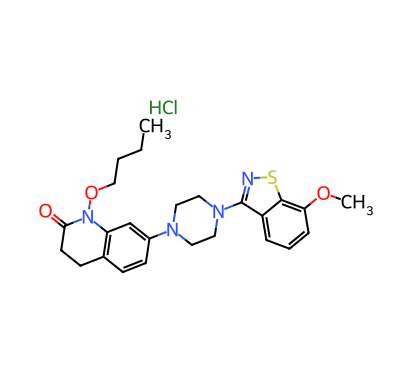 CCCCON1C(=O)CCc2ccc(N3CCN(c4nsc5c(OC)cccc45)CC3)cc21.Cl